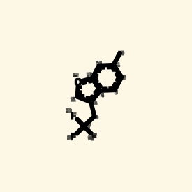 Cc1ccc2c([CH]C(F)(F)F)coc2c1